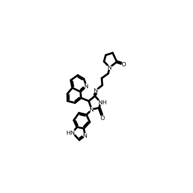 O=C1CCCN1CCCN=C1NC(=O)N(c2ccc3[nH]cnc3c2)C1c1cccc2cccnc12